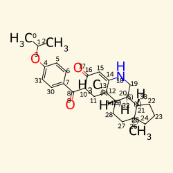 CC(C)Oc1ccc(C(=O)C2C[C@@]3(C)C(=CC2=O)NC[C@H]2[C@@H]4CCC[C@@]4(C)CC[C@@H]23)cc1